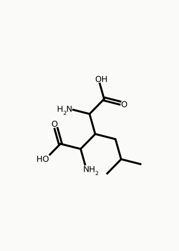 CC(C)CC(C(N)C(=O)O)C(N)C(=O)O